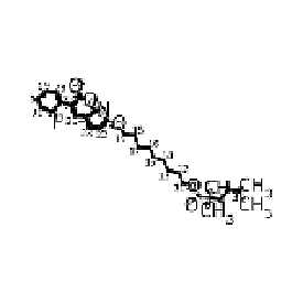 CC(C)CCC(C)(C)C(=O)OCCCCCCCCCOc1ccc2cc(-c3ccccc3F)c(=O)oc2n1